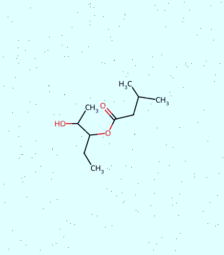 CCC(OC(=O)CC(C)C)C(C)O